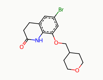 O=C1CCc2cc(Br)cc(OCC3CCOCC3)c2N1